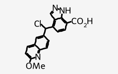 COc1ccc2cc(C(Cl)c3ccc(C(=O)O)c4[nH]ncc34)ccc2n1